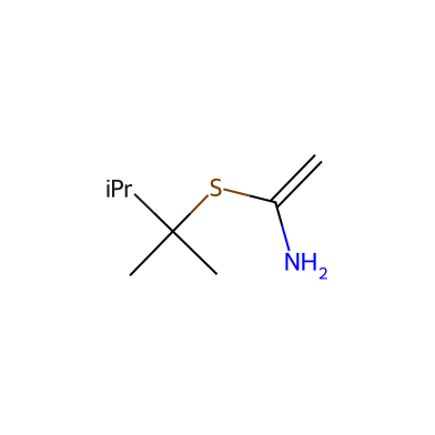 C=C(N)SC(C)(C)C(C)C